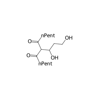 CCCCCC(=O)C(C(=O)CCCCC)C(O)CCO